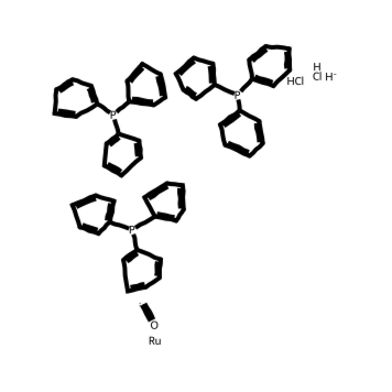 Cl.Cl.[C]=O.[H-].[Ru].c1ccc(P(c2ccccc2)c2ccccc2)cc1.c1ccc(P(c2ccccc2)c2ccccc2)cc1.c1ccc(P(c2ccccc2)c2ccccc2)cc1